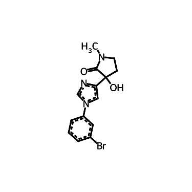 CN1CCC(O)(c2cn(-c3cccc(Br)c3)cn2)C1=O